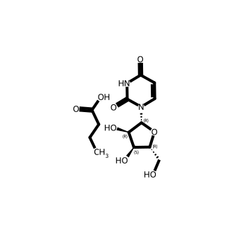 CCCC(=O)O.O=c1ccn([C@@H]2O[C@H](CO)[C@@H](O)[C@H]2O)c(=O)[nH]1